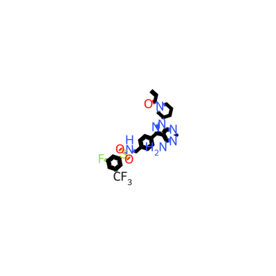 C=CC(=O)N1CCCC(n2nc(-c3ccc(CNS(=O)(=O)c4cc(F)cc(C(F)(F)F)c4)cc3)c3c(N)ncnc32)C1